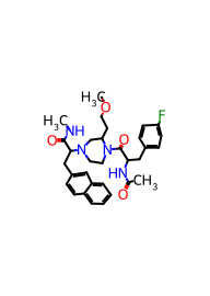 CNC(=O)C(Cc1ccc2ccccc2c1)N1CCN(C(=O)C(Cc2ccc(F)cc2)NC(C)=O)C(CCOC)C1